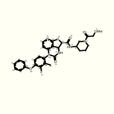 COCC(=O)N1CCCC(NC(=O)[C@@H]2Sc3nccc4c3C2NC(=O)N4c2ccc(Oc3ccccc3)c(F)c2C)C1